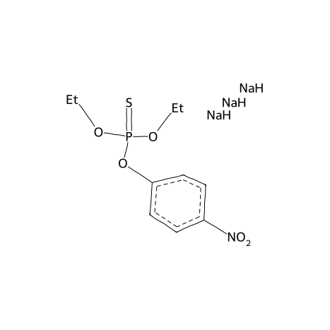 CCOP(=S)(OCC)Oc1ccc([N+](=O)[O-])cc1.[NaH].[NaH].[NaH]